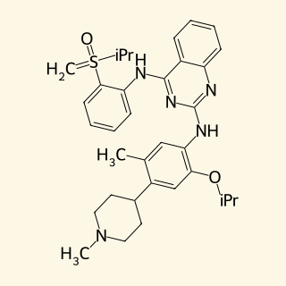 C=S(=O)(c1ccccc1Nc1nc(Nc2cc(C)c(C3CCN(C)CC3)cc2OC(C)C)nc2ccccc12)C(C)C